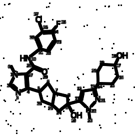 Cn1cnc(C2CC3CC(O)(c4cc(C5CCC(O)CC5)nn4C)CC3C2)c1C(=O)Nc1ccc(F)c(Cl)c1